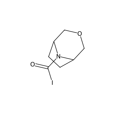 O=C(I)N1C2CCC1COC2